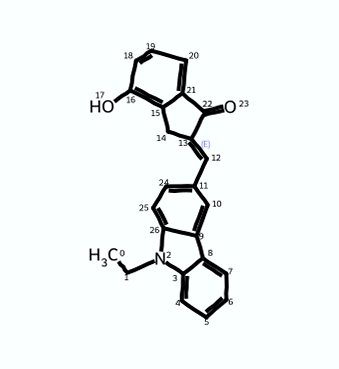 CCn1c2ccccc2c2cc(/C=C3\Cc4c(O)cccc4C3=O)ccc21